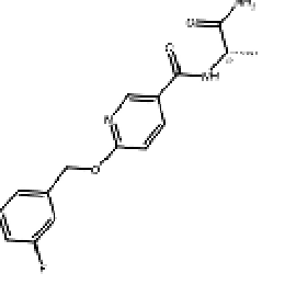 C[C@H](NC(=O)c1ccc(OCc2cccc(F)c2)nc1)C(N)=O